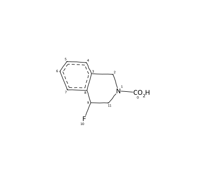 O=C(O)N1Cc2ccccc2C(F)C1